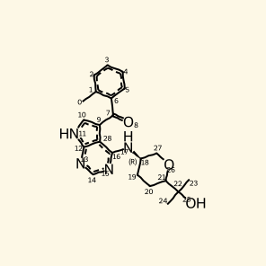 Cc1ccccc1C(=O)c1c[nH]c2ncnc(N[C@@H]3CCC(C(C)(C)O)OC3)c12